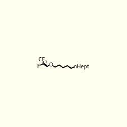 CCCCCCCCCCCCO/C=C(/F)C(F)(F)F